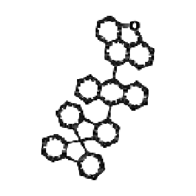 c1ccc2c(c1)-c1ccccc1C21c2ccccc2-c2c(-c3c4ccccc4c(-c4cc5cccc6oc7cccc4c7c56)c4ccccc34)cccc21